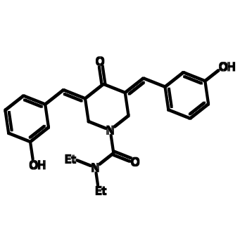 CCN(CC)C(=O)N1C/C(=C\c2cccc(O)c2)C(=O)/C(=C/c2cccc(O)c2)C1